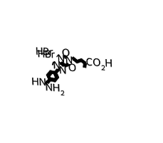 Br.Br.CC(CCCn1c(=O)c2nc(-c3ccc(C(=N)N)cc3)n(C)c2n(C)c1=O)C(=O)O